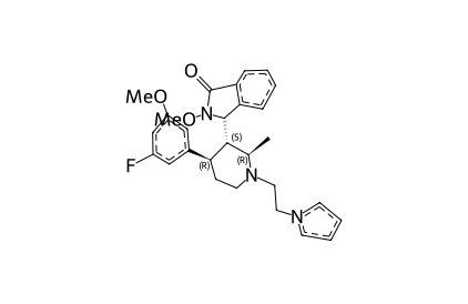 COc1cc(F)cc([C@@H]2CCN(CCn3cccc3)[C@H](C)[C@H]2C2c3ccccc3C(=O)N2OC)c1